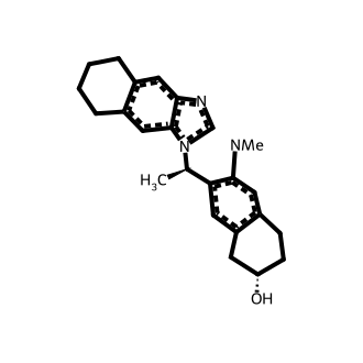 CNc1cc2c(cc1[C@@H](C)n1cnc3cc4c(cc31)CCCC4)C[C@@H](O)CC2